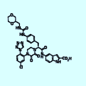 O=C(NCC1COCCO1)Nc1ccc(C[C@@H](C(=O)Nc2ccc3[nH]c(C(=O)O)cc3c2)N2CCN(c3cc(Cl)ccc3-n3cnnn3)C(=O)C2=O)cc1